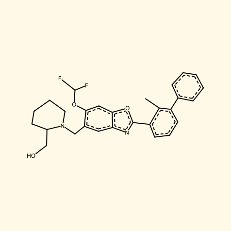 Cc1c(-c2ccccc2)cccc1-c1nc2cc(CN3CCCCC3CO)c(OC(F)F)cc2o1